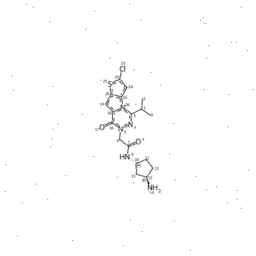 CC(C)c1nn(CC(=O)N[C@@H]2CC[C@@H](N)C2)c(=O)c2cc3sc(Cl)cc3n12